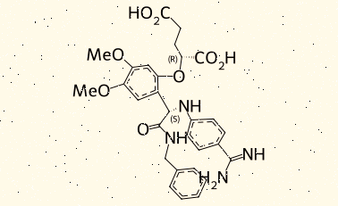 COc1cc(O[C@H](CCC(=O)O)C(=O)O)c([C@H](Nc2ccc(C(=N)N)cc2)C(=O)NCc2ccccc2)cc1OC